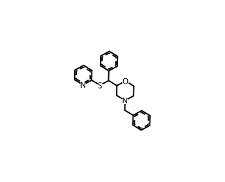 c1ccc(CN2CCOC(C(Sc3ccccn3)c3ccccc3)C2)cc1